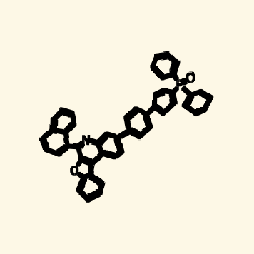 O=P(c1ccccc1)(c1ccccc1)c1ccc(-c2ccc(-c3ccc4c(c3)nc(-c3cccc5ccccc35)c3oc5ccccc5c34)cc2)cc1